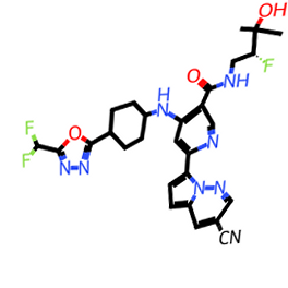 CC(C)(O)[C@H](F)CNC(=O)c1cnc(-c2ccc3cc(C#N)cnn23)cc1NC1CCC(c2nnc(C(F)F)o2)CC1